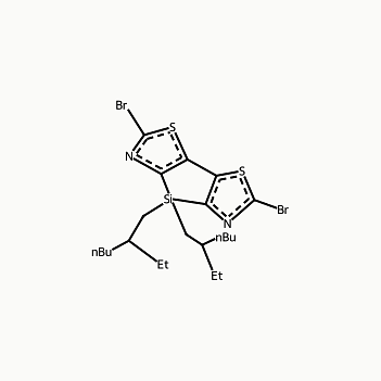 CCCCC(CC)C[Si]1(CC(CC)CCCC)c2nc(Br)sc2-c2sc(Br)nc21